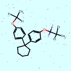 CCC(C)(CC)Oc1ccc(C2(c3ccc(OC(I)(I)C(C)(CC)CC)cc3)CCCCC2)cc1